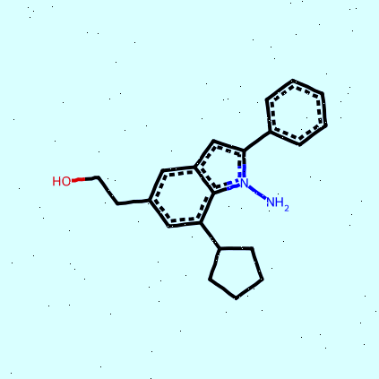 Nn1c(-c2ccccc2)cc2cc(CCO)cc(C3CCCC3)c21